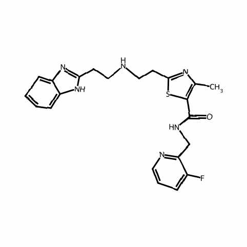 Cc1nc(CCNCCc2nc3ccccc3[nH]2)sc1C(=O)NCc1ncccc1F